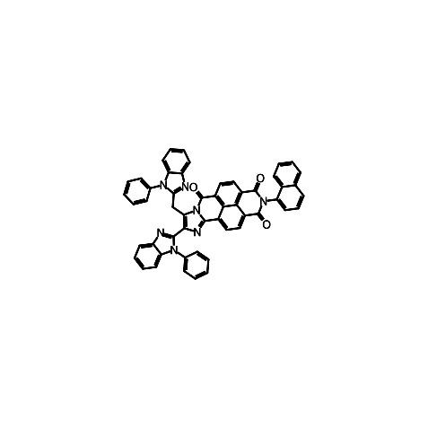 O=C1c2ccc3c(=O)n4c(Cc5nc6ccccc6n5-c5ccccc5)c(-c5nc6ccccc6n5-c5ccccc5)nc4c4ccc(c2c34)C(=O)N1c1cccc2ccccc12